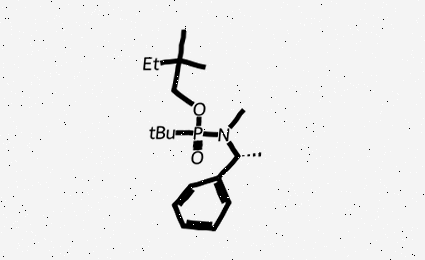 CCC(C)(C)COP(=O)(N(C)[C@H](C)c1ccccc1)C(C)(C)C